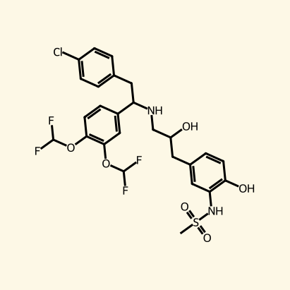 CS(=O)(=O)Nc1cc(CC(O)CNC(Cc2ccc(Cl)cc2)c2ccc(OC(F)F)c(OC(F)F)c2)ccc1O